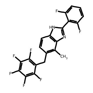 Cc1c(Cc2c(F)c(F)c(F)c(F)c2F)ccc2[nH]c(-c3c(F)cccc3F)nc12